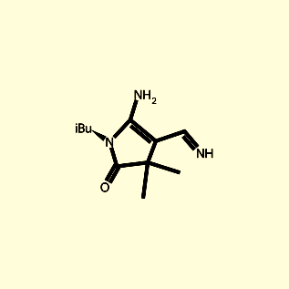 CC[C@H](C)N1C(=O)C(C)(C)C(C=N)=C1N